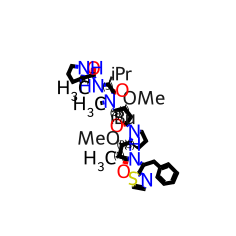 CC[C@H](C)[C@@H]([C@@H](CC(=O)N1CCC[C@H]1[C@H](OC)[C@@H](C)C(=O)NC(Cc1ccccc1)c1nccs1)OC)N(C)C(=O)[C@@H](NC(=O)[C@@]1(C)CCCN1)C(C)C